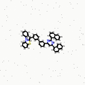 c1cc(-c2cccc(-c3c4ccccc4n4c3sc3ccccc34)c2)cc(-c2cc(-c3cccc4ccccc34)nc(-c3cccc4ccccc34)n2)c1